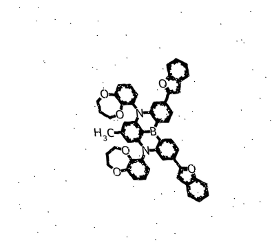 Cc1cc2c3c(c1)N(c1cccc4c1OCCCO4)c1cc(-c4cc5ccccc5o4)ccc1B3c1ccc(-c3cc4ccccc4o3)cc1N2c1cccc2c1OCCCO2